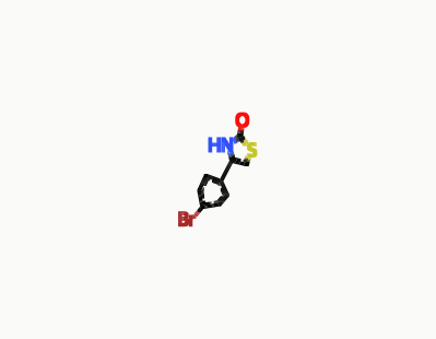 O=c1[nH]c(-c2ccc(Br)cc2)cs1